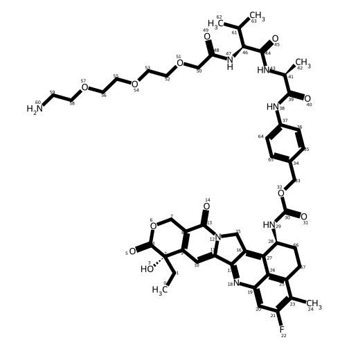 CC[C@@]1(O)C(=O)OCc2c1cc1n(c2=O)Cc2c-1nc1cc(F)c(C)c3c1c2[C@@H](NC(=O)OCc1ccc(NC(=O)[C@H](C)NC(=O)[C@@H](NC(=O)COCCOCCOCCN)C(C)C)cc1)CC3